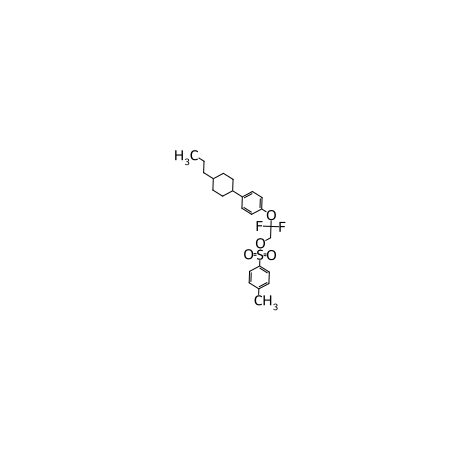 CCCC1CCC(c2ccc(OC(F)(F)COS(=O)(=O)c3ccc(C)cc3)cc2)CC1